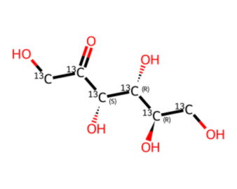 O=[13C]([13CH2]O)[13C@@H](O)[13C@H](O)[13C@H](O)[13CH2]O